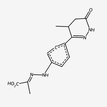 CC(=NNc1ccc(C2=NNC(=O)CC2C)cc1)C(=O)O